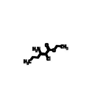 CCCC(N)=C(Cl)C(=O)OCC